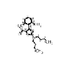 CCCCN(CCCC)c1nc(-c2c(C)cccc2C)c(C=O)s1